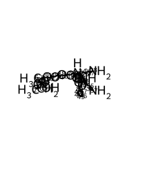 C=C(C)O[C@@H]1[C@H](C)C[C@H](OCCOCCOCCOCC(=O)N[C@@H](CCCCN)C(=O)N[C@@H](CCCCN)C(=O)OCc2ccccc2)O[C@@H]1CO